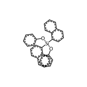 c1ccc(O[Si](Oc2ccccc2)(c2cccc3ccccc23)c2cccc3ccccc23)cc1